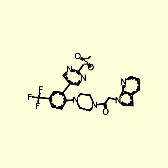 CS(=O)(=O)c1ncc(-c2cc(C(F)(F)F)ccc2N2CCN(C(=O)Cn3ccc4cccnc43)CC2)cn1